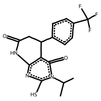 CC(C)n1c(S)nc2c(c1=O)C(c1ccc(C(F)(F)F)cc1)CC(=O)N2